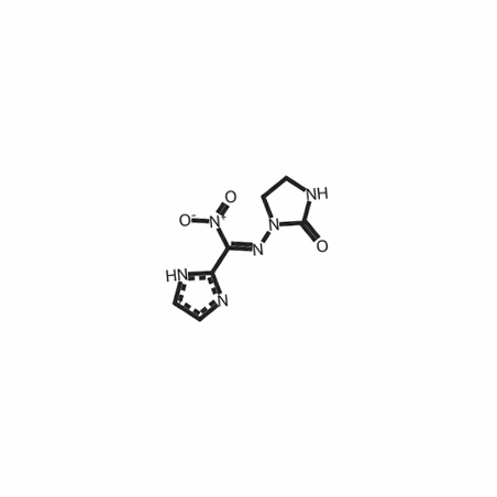 O=C1NCCN1N=C(c1ncc[nH]1)[N+](=O)[O-]